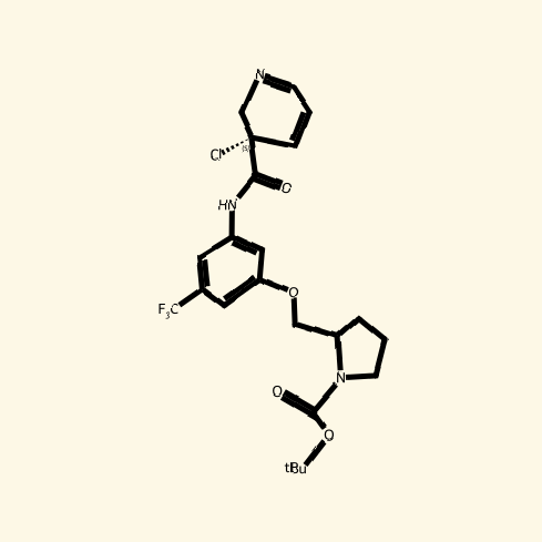 CC(C)(C)OC(=O)N1CCCC1COc1cc(NC(=O)[C@]2(Cl)C=CC=NC2)cc(C(F)(F)F)c1